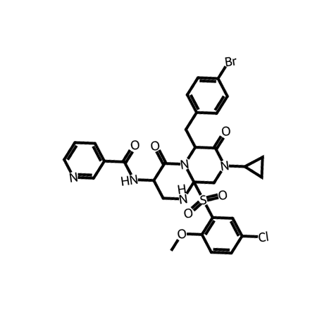 COc1ccc(Cl)cc1S(=O)(=O)C12CN(C3CC3)C(=O)C(Cc3ccc(Br)cc3)N1C(=O)C(NC(=O)c1cccnc1)CN2